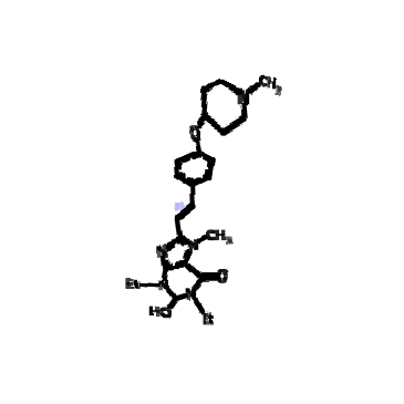 CCN1C(=O)c2c(nc(/C=C/c3ccc(OC4CCN(C)CC4)cc3)n2C)N(CC)C1O